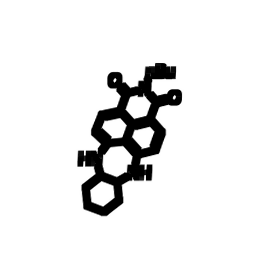 CCCCN1C(=O)c2ccc3c4c(ccc(c24)C1=O)NC1CCCCC1N3